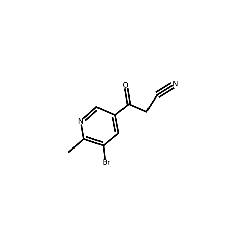 Cc1ncc(C(=O)CC#N)cc1Br